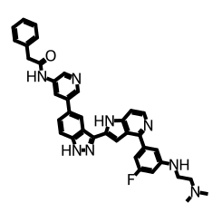 CN(C)CCNc1cc(F)cc(-c2nccc3[nH]c(-c4n[nH]c5ccc(-c6cncc(NC(=O)Cc7ccccc7)c6)cc45)cc23)c1